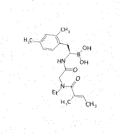 C/C=C(\C)C(=O)N(CC)CC(=O)N[C@@H](Cc1ccc(C)cc1C)B(O)O